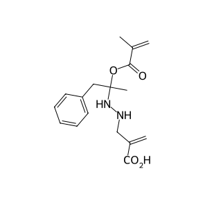 C=C(C)C(=O)OC(C)(Cc1ccccc1)NNCC(=C)C(=O)O